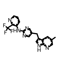 Cc1cnc2[nH]cc(Cc3cnc(Nc4cccnc4C(F)(F)F)nc3)c2c1